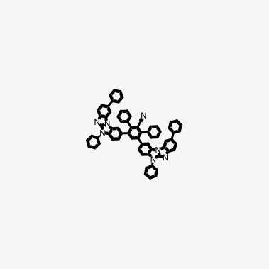 N#Cc1c(-c2ccccc2)c(-c2ccc3c(c2)n2c4cc(-c5ccccc5)ccc4nc2n3-c2ccccc2)cc(-c2ccc3c(c2)n2c4cc(-c5ccccc5)ccc4nc2n3-c2ccccc2)c1-c1ccccc1